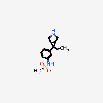 CCC1(c2cccc(NS(C)(=O)=O)c2)C2CNCC21